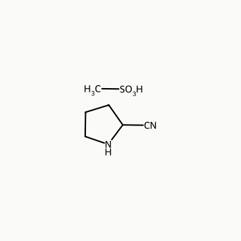 CS(=O)(=O)O.N#CC1CCCN1